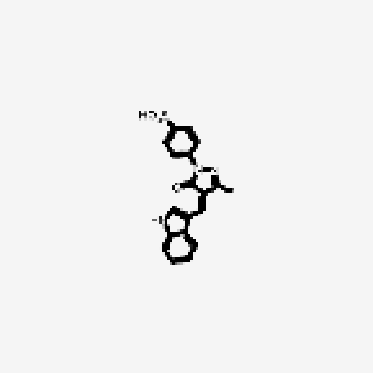 CC1=NN(c2ccc(S(=O)(=O)O)cc2)C(=O)C1=Cc1c[nH]c2ccccc12